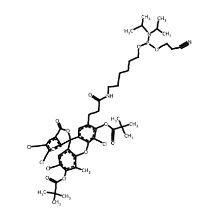 Cc1c(OC(=O)C(C)(C)C)c(Cl)cc2c1Oc1c(cc(CCC(=O)NCCCCCCOP(OCCC#N)N(C(C)C)C(C)C)c(OC(=O)C(C)(C)C)c1Cl)C21OC(=O)c2cc(Cl)c(Cl)cc21